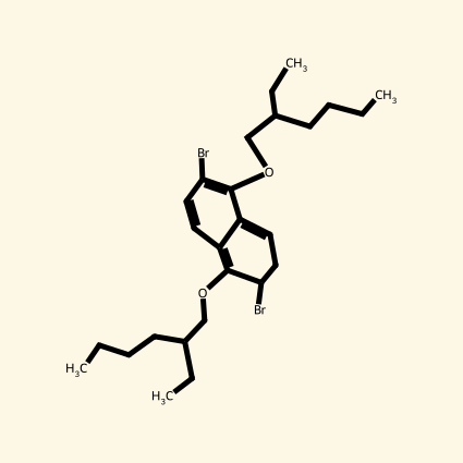 CCCCC(CC)COC1=c2ccc(Br)c(OCC(CC)CCCC)c2=CCC1Br